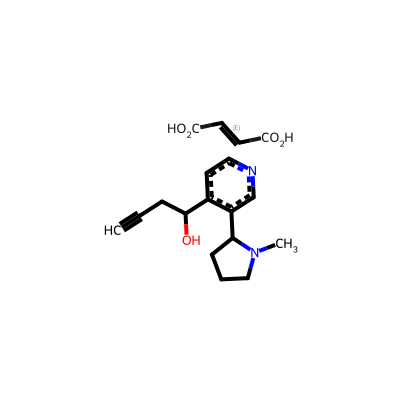 C#CCC(O)c1ccncc1C1CCCN1C.O=C(O)/C=C/C(=O)O